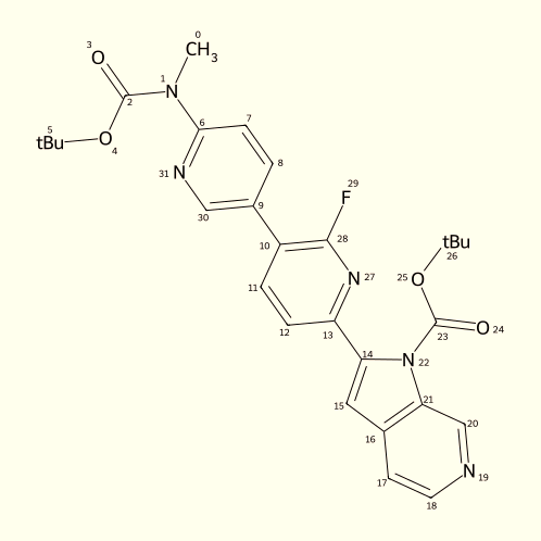 CN(C(=O)OC(C)(C)C)c1ccc(-c2ccc(-c3cc4ccncc4n3C(=O)OC(C)(C)C)nc2F)cn1